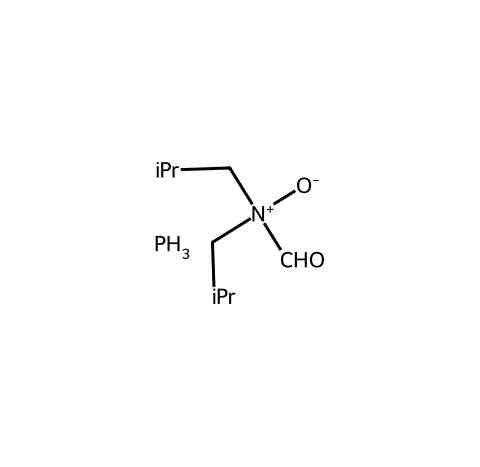 CC(C)C[N+]([O-])(C=O)CC(C)C.P